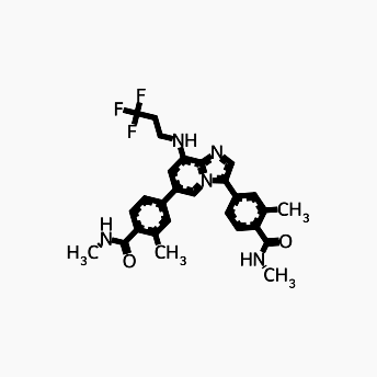 CNC(=O)c1ccc(-c2cc(NCCC(F)(F)F)c3ncc(-c4ccc(C(=O)NC)c(C)c4)n3c2)cc1C